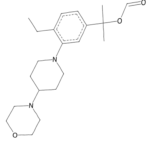 CCc1ccc(C(C)(C)OC=O)cc1N1CCC(N2CCOCC2)CC1